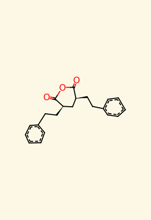 O=C1OC(=O)[C@@H](CCc2ccccc2)C[C@H]1CCc1ccccc1